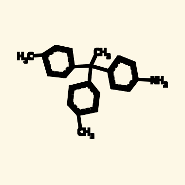 Cc1ccc(C(C)(c2ccc(C)cc2)c2ccc(N)cc2)cc1